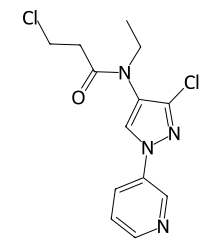 CCN(C(=O)CCCl)c1cn(-c2cccnc2)nc1Cl